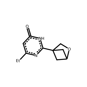 CCc1cc(=O)[nH]c(C23COC(C2)C3)n1